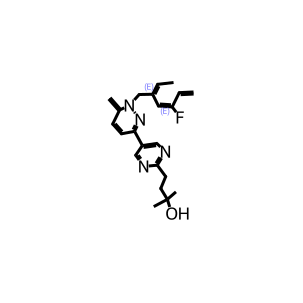 C=C/C(F)=C\C(=C/C)CN1N=C(c2cnc(CCC(C)(C)O)nc2)C=CC1=C